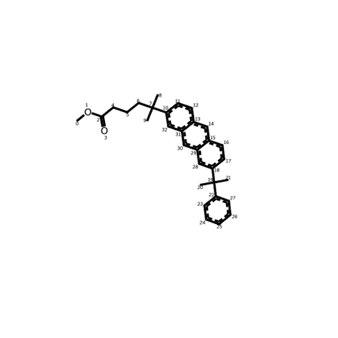 COC(=O)CCCC(C)(C)c1ccc2cc3ccc(C(C)(C)c4ccccc4)cc3cc2c1